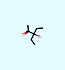 CCC(Br)(CC)C(C)=O